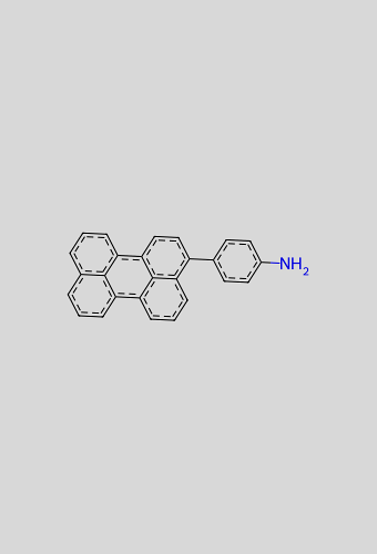 Nc1ccc(-c2ccc3c4cccc5cccc(c6cccc2c63)c54)cc1